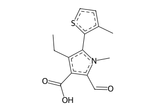 CCc1c(C(=O)O)c(C=O)n(C)c1-c1sccc1C